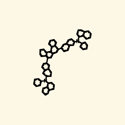 c1ccc(N(c2ccc3cc(-c4cc5cc(-c6ccc7cc(N(c8ccccc8)c8cccc9ccccc89)ccc7c6)c6ccccc6c5c5ccccc45)ccc3c2)c2cccc3ccccc23)cc1